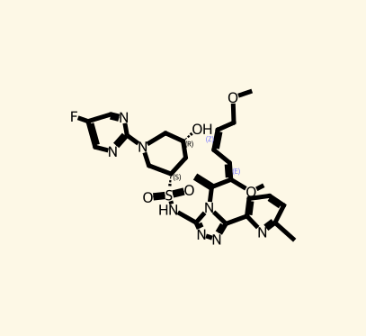 C=C(/C(=C\C=C/COC)OC)n1c(NS(=O)(=O)[C@H]2C[C@@H](O)CN(c3ncc(F)cn3)C2)nnc1-c1cccc(C)n1